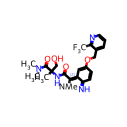 CN/C(C(=O)NC(C)(CO)C(=O)N(C)C)=C1/C=C(OCc2cccnc2C(F)(F)F)C=CC1=N